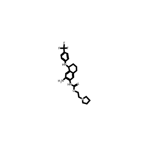 Nc1cc2c(cc1NC(=S)OCCN1CCCC1)CCCC2Nc1ccc(C(F)(F)F)cc1